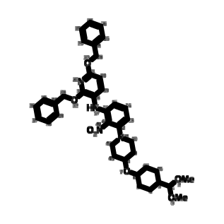 COC(OC)C1CCC(OC2CCN(c3cccc(Nc4ccc(OCc5ccccc5)nc4OCc4ccccc4)c3[N+](=O)[O-])CC2)CC1